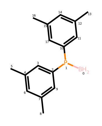 BP(c1cc(C)cc(C)c1)c1cc(C)cc(C)c1